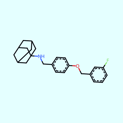 Fc1cccc(COc2ccc(CNC34CC5CC(CC(C5)C3)C4)cc2)c1